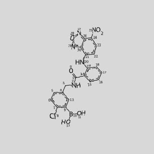 O=C(NCc1ccc(Cl)c(B(O)O)c1)c1ccccc1Nc1ccc([N+](=O)[O-])c2nonc12